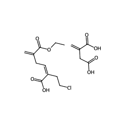 C=C(CC(=O)O)C(=O)O.C=C(CC=C(CCCl)C(=O)O)C(=O)OCC